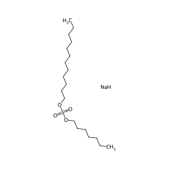 CCCCCCCCCCCCOS(=O)(=O)OCCCCCCC.[NaH]